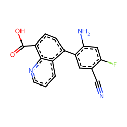 N#Cc1cc(-c2ccc(C(=O)O)c3ncccc23)c(N)cc1F